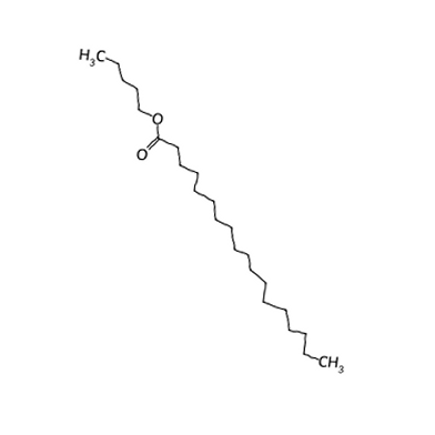 CCCCCCCCCCCCCCCCCC(=O)OCCCCC